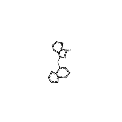 c1ccc2c(Sc3n[nH]c4ccccc34)cccc2c1